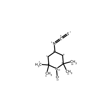 CC1(C)CC(N=C=S)CC(C)(C)N1[O]